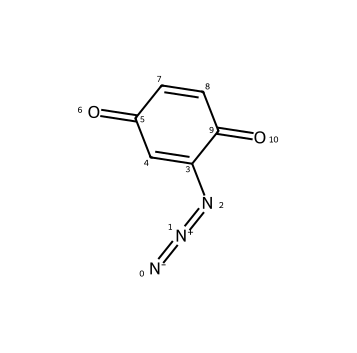 [N-]=[N+]=NC1=CC(=O)C=CC1=O